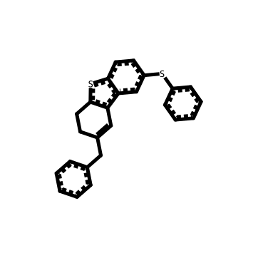 C1=C(Cc2ccccc2)CCc2sc3ccc(Sc4ccccc4)cc3c21